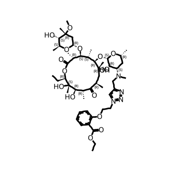 CCOC(=O)c1ccccc1OCCn1cc(CN(C)[C@H]2C[C@@H](C)O[C@@H](O[C@@H]3[C@@H](C)[C@H](O[C@H]4C[C@@](C)(OC)[C@@H](O)[C@H](C)O4)[C@@H](C)C(=O)O[C@H](CC)[C@@](C)(O)[C@H](O)[C@@H](C)C(=O)[C@H](C)C[C@@]3(C)O)[C@@H]2O)nn1